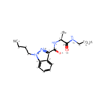 CC(C)(C)[C@H](NC(=O)c1nn(CCCC#N)c2ccccc12)C(=O)NCC(=O)O